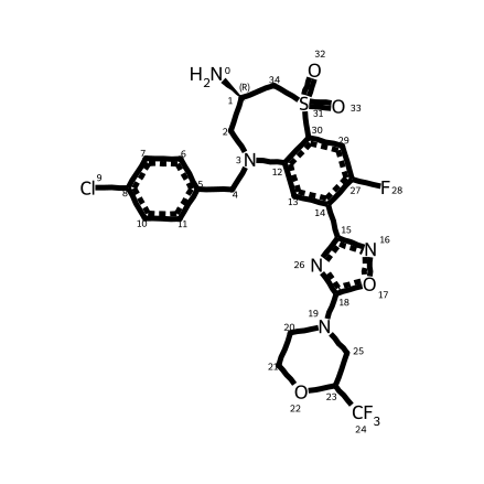 N[C@@H]1CN(Cc2ccc(Cl)cc2)c2cc(-c3noc(N4CCOC(C(F)(F)F)C4)n3)c(F)cc2S(=O)(=O)C1